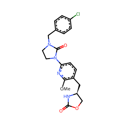 COc1nc(N2CCN(Cc3ccc(Cl)cc3)C2=O)ccc1C[C@H]1COC(=O)N1